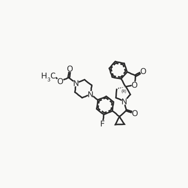 COC(=O)N1CCN(c2ccc(C3(C(=O)N4CC[C@@]5(C4)OC(=O)c4ccccc45)CC3)c(F)c2)CC1